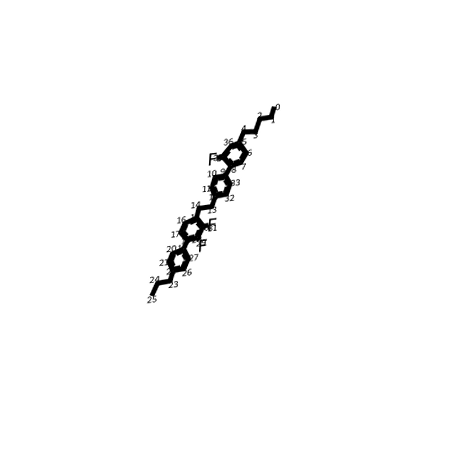 CCCCCc1ccc(-c2ccc(CCc3ccc(-c4ccc(CCC)cc4)c(F)c3F)cc2)c(F)c1